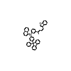 C/C(=C\C=C/c1csc2ccccc12)c1cccc(N(C2=CC=CC3C=CC=CC23)c2ccc(C3(c4ccccc4)c4ccccc4-c4ccccc43)cc2)c1